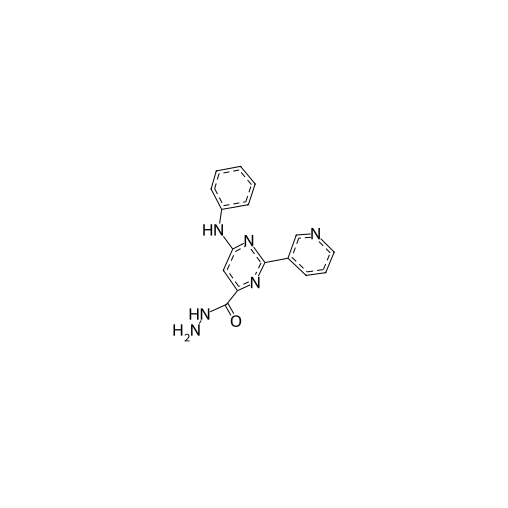 NNC(=O)c1cc(Nc2ccccc2)nc(-c2cccnc2)n1